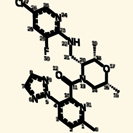 Cc1ccc(-n2nccn2)c(C(=O)N2C[C@@H](C)O[C@@H](C)[C@H]2CNc2ncc(Cl)cc2F)n1